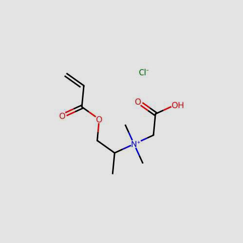 C=CC(=O)OCC(C)[N+](C)(C)CC(=O)O.[Cl-]